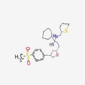 CS(=O)(=O)c1ccc(C2COC3CCC(NCC4CCCS4)(C4CCCCC4)NC32)cc1